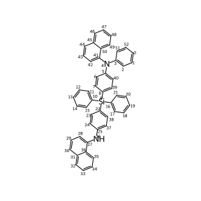 c1ccc(N(c2ccc([Si](c3ccccc3)(c3ccccc3)c3ccc(Nc4cccc5ccccc45)cc3)cc2)c2cccc3ccccc23)cc1